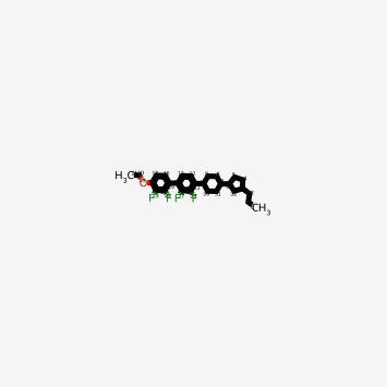 CCCC1CCC(C2CCC(c3ccc(-c4ccc(OCC)c(F)c4F)c(F)c3F)CC2)C1